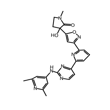 Cc1cc(Nc2nccc(-c3cccc(-c4cc(C5(O)CCN(C)C5=O)on4)n3)n2)cc(C)n1